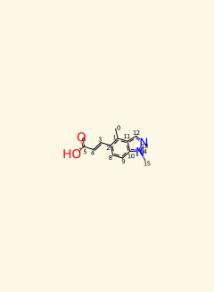 Cc1c(/C=C/C(=O)O)ccc2c1cnn2C